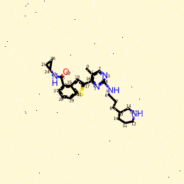 Cc1cnc(NCCCC2CCCNC2)nc1-c1cc2c(C(=O)NC3CC3)cccc2s1